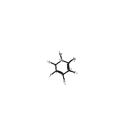 FC1=C(F)C(F)N(Br)C(Br)=C1F